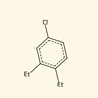 CCc1[c]c(Cl)ccc1CC